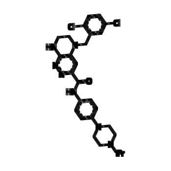 CC(C)N1CCN(c2ccc(NC(=O)c3cc4c(nn3)NCCN4Cc3cc(Cl)ccc3Cl)cc2)CC1